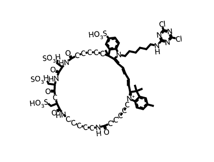 Cc1ccc2c(c1)C(C)(C)C1=[N+]2CCCCCC(=O)NCCCCCNC(=O)C(CS(=O)(=O)O)CC(=O)C(CS(=O)(=O)O)NC(=O)C(CS(=O)(=O)O)NC(=O)CCCCCC2(C)/C(=C/C=C/C=C/1)N(CCCCCCNc1nc(Cl)nc(Cl)n1)c1ccc(S(=O)(=O)O)cc12